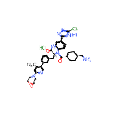 Cc1cc(N2CCOCC2)ncc1-c1cccc(C[C@@H](C(N)=O)N(c2ccc(-c3nnc(Cl)[nH]3)cc2)C(=O)[C@H]2CC[C@H](CN)CC2)c1.Cl